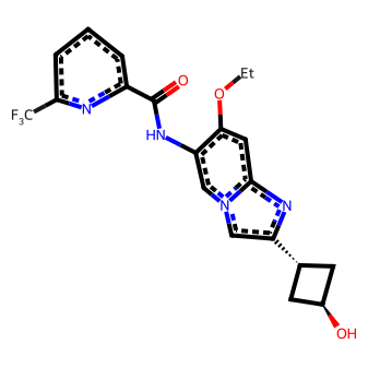 CCOc1cc2nc([C@H]3C[C@H](O)C3)cn2cc1NC(=O)c1cccc(C(F)(F)F)n1